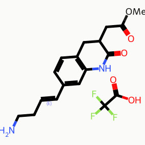 COC(=O)CC1Cc2ccc(/C=C/CCN)cc2NC1=O.O=C(O)C(F)(F)F